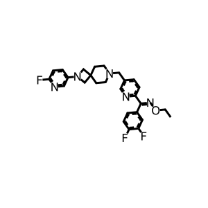 CCON=C(c1ccc(F)c(F)c1)c1ccc(CN2CCC3(CC2)CN(c2ccc(F)nc2)C3)cn1